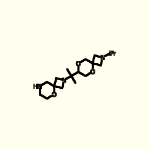 CC(C)N1CC2(COC(C(C)(C)N3CC4(CNCCO4)C3)CO2)C1